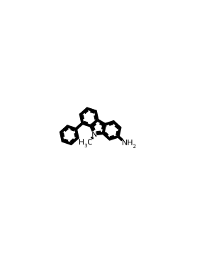 Cn1c2cc(N)ccc2c2cccc(-c3ccccc3)c21